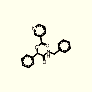 O=C(OC(C(=O)NCc1ccccc1)c1ccccc1)c1cccnc1